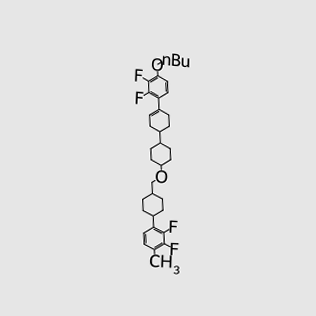 CCCCOc1ccc(C2=CCC(C3CCC(OCC4CCC(c5ccc(C)c(F)c5F)CC4)CC3)CC2)c(F)c1F